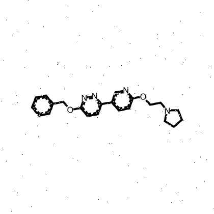 c1ccc(COc2ccc(-c3ccc(OCCN4CCCC4)nc3)nn2)cc1